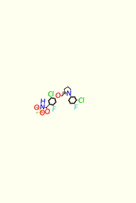 CS(=O)(=O)NC(=O)c1cc(Cl)c(OC[C@H]2CCCN2c2ccc(F)c(Cl)c2)cc1F